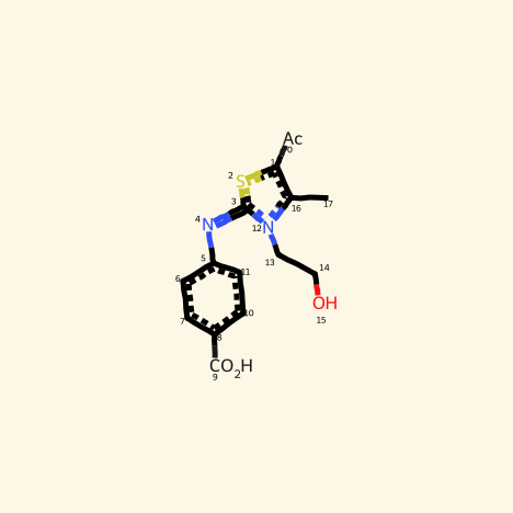 CC(=O)c1sc(=Nc2ccc(C(=O)O)cc2)n(CCO)c1C